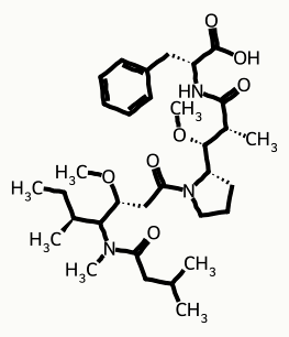 CC[C@H](C)C([C@@H](CC(=O)N1CCC[C@H]1[C@H](OC)[C@@H](C)C(=O)N[C@H](Cc1ccccc1)C(=O)O)OC)N(C)C(=O)CC(C)C